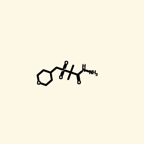 CC(C)(C(=O)NN)S(=O)(=O)CC1CCOCC1